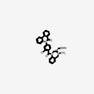 CSC[C@@H]1CN(C(=O)c2ccc(NC(=O)c3ccccc3-c3ccccc3)cc2Cl)c2ccccc2CN1C